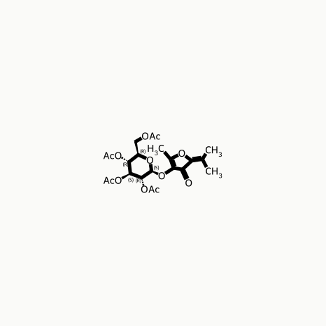 CC(=O)OC[C@H]1O[C@@H](OC2=C(C)OC(=C(C)C)C2=O)[C@H](OC(C)=O)[C@@H](OC(C)=O)[C@@H]1OC(C)=O